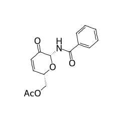 CC(=O)OC[C@@H]1C=CC(=O)[C@H](NC(=O)c2ccccc2)O1